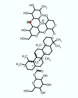 CC1=C2C3=CCC4[C@@]5(C)CC[C@H](OC6OCC(O)C(O)C6OC6OC(CO)C(O)C(O)C6OC6OC(C)C(O)C(O)C6O)C(C)(C)C5CC[C@@]4(C)[C@]3(C)CC[C@@]2(C(=O)OC2OC(CO)C(O)C(O)C2O)CC[C@H]1C